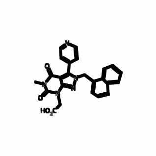 Cn1c(=O)c2c(-c3ccncc3)n(Cc3cccc4ccccc34)nc2n(CC(=O)O)c1=O